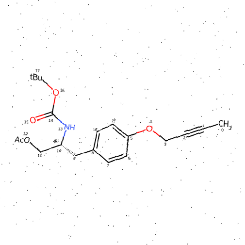 CC#CCOc1ccc(C[C@H](COC(C)=O)NC(=O)OC(C)(C)C)cc1